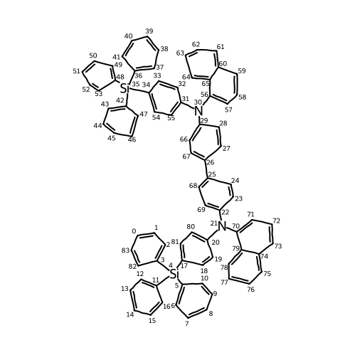 c1ccc([Si](c2ccccc2)(c2ccccc2)c2ccc(N(c3ccc(-c4ccc(N(c5ccc([Si](c6ccccc6)(c6ccccc6)c6ccccc6)cc5)c5cccc6ccccc56)cc4)cc3)c3cccc4ccccc34)cc2)cc1